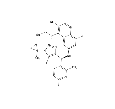 Cc1nc(F)ccc1[C@H](Nc1cc(Cl)c2ncc(C#N)c(NCC(C)(C)C)c2c1)c1nnn(C2(C)CC2)c1F